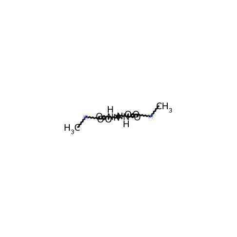 CCCCCCCC/C=C\CCCCCCCC(=O)Oc1ccc(CC(=O)NCCCN2CCN(CCCNC(=O)Cc3ccc(OC(=O)CCCCCCC/C=C\CCCCCCCC)cc3)CC2)cc1